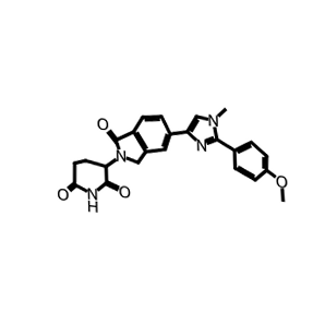 COc1ccc(-c2nc(-c3ccc4c(c3)CN(C3CCC(=O)NC3=O)C4=O)cn2C)cc1